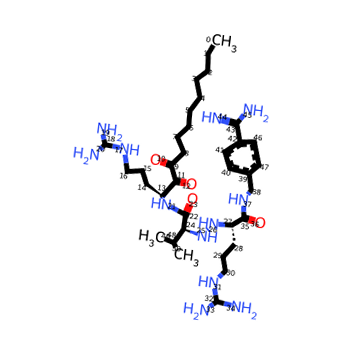 CCCCCCCCCC(=O)C(=O)[C@H](CCCNC(N)N)NC(=O)[C@@H](NN[C@@H](CCCNC(N)N)C(=O)NCc1ccc(C(=N)N)cc1)C(C)C